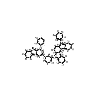 c1ccc(-c2nc(-c3cccc(-n4c5ccccc5c5c6c7ccccc7n(-c7ccccc7)c6ccc54)c3)nc3c2sc2ccccc23)cc1